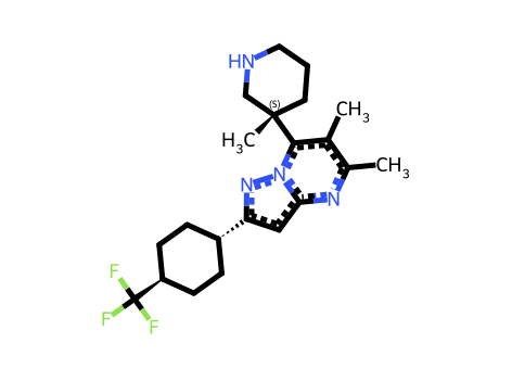 Cc1nc2cc([C@H]3CC[C@H](C(F)(F)F)CC3)nn2c([C@@]2(C)CCCNC2)c1C